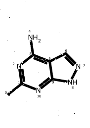 Cc1nc(N)c2cn[nH]c2n1